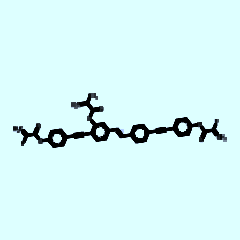 C=C(C)C(=O)Oc1cc(/C=C/c2ccc(C#Cc3ccc(OC(=O)C(=C)F)cc3)cc2)ccc1C#Cc1ccc(OC(=O)C(=C)F)cc1